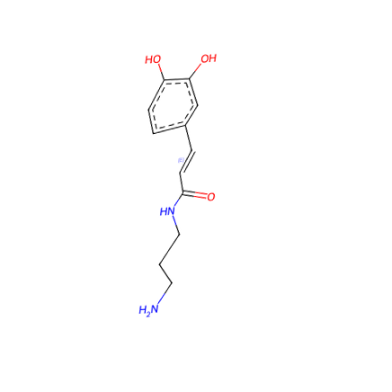 NCCCNC(=O)/C=C/c1ccc(O)c(O)c1